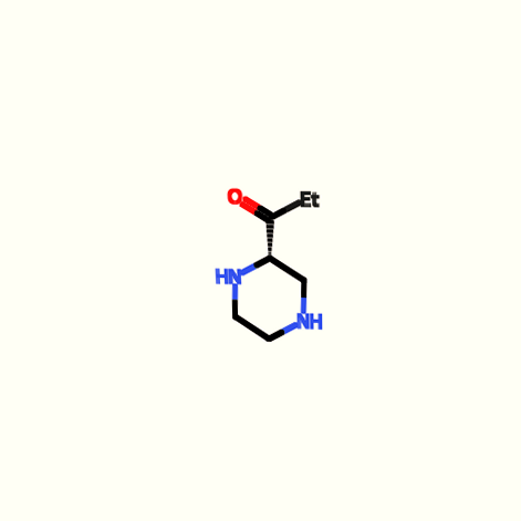 CCC(=O)[C@@H]1CNCCN1